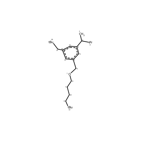 CC(C)C(C)c1cc(COCCCCC(C)(C)C)cc(CC(C)(C)C)c1